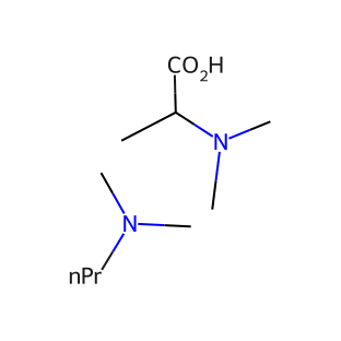 CC(C(=O)O)N(C)C.CCCN(C)C